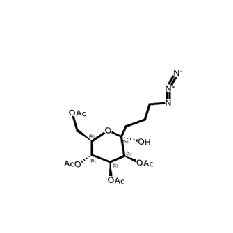 CC(=O)OC[C@H]1O[C@@](O)(CCCN=[N+]=[N-])[C@@H](OC(C)=O)[C@@H](OC(C)=O)[C@@H]1OC(C)=O